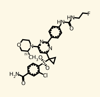 C[C@H]1COCCN1c1cc(C2(S(=O)(=O)c3ccc(C(N)=O)cc3Cl)CC2)nc(-c2ccc(NC(=O)NCCF)cc2)n1